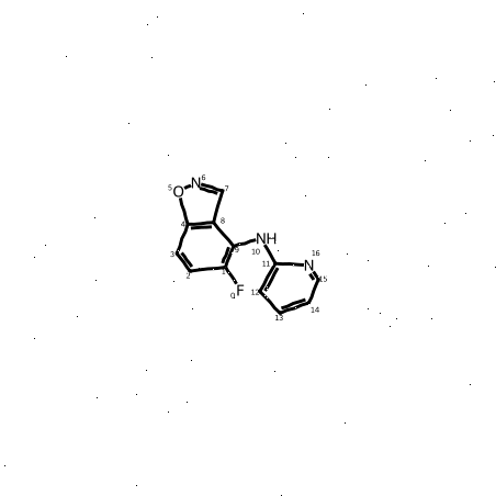 Fc1ccc2oncc2c1Nc1ccccn1